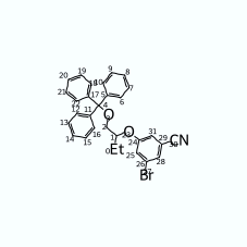 CCC(COC(c1ccccc1)(c1ccccc1)c1ccccc1)Oc1cc(Br)cc(C#N)c1